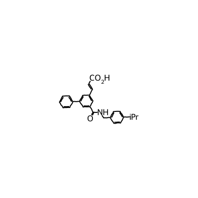 CC(C)c1ccc(CNC(=O)c2cc(/C=C/C(=O)O)cc(-c3ccccc3)c2)cc1